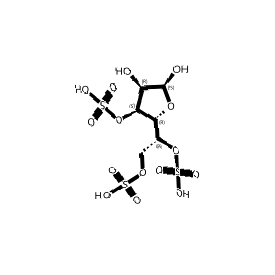 O=S(=O)(O)OC[C@@H](OS(=O)(=O)O)[C@H]1O[C@H](O)[C@H](O)[C@@H]1OS(=O)(=O)O